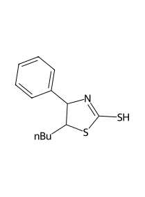 CCCCC1SC(S)=NC1c1ccccc1